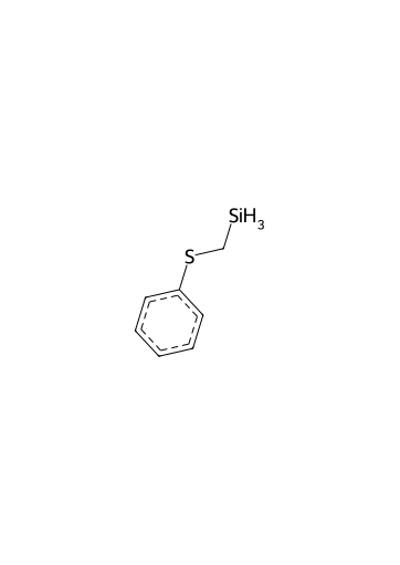 [SiH3]CSc1ccccc1